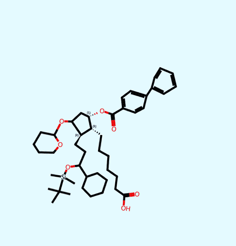 CC(C)(C)[Si](C)(C)OC(CC[C@H]1C(OC2CCCCO2)C[C@H](OC(=O)c2ccc(-c3ccccc3)cc2)[C@@H]1CCCCCCC(=O)O)C1CCCCC1